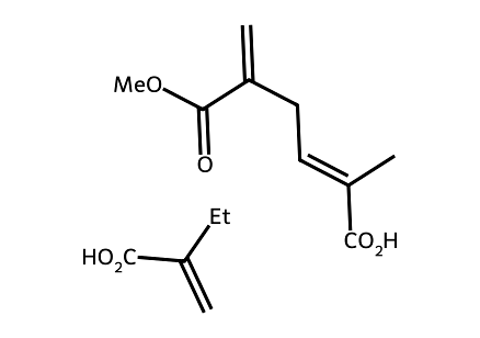 C=C(CC)C(=O)O.C=C(CC=C(C)C(=O)O)C(=O)OC